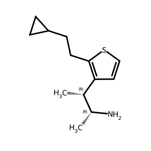 C[C@H](c1ccsc1CCC1CC1)[C@@H](C)N